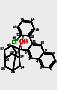 OC1(c2cc3ccccc3cc2-c2ccccc2Cl)C2CC3CC(C2)CC1C3